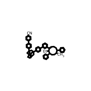 CCC1/C(c2cccc(-c3ccc(C45CC6CC7(CC(c8ccc(-c9ccc(C#N)cc9)cc8)(C4)C7)C6C5)cc3)c2)=C\CCC(c2ccccc2)C(C)CCC1c1ccccc1